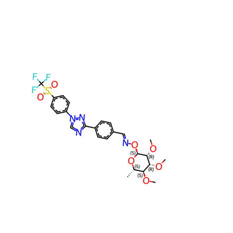 CO[C@@H]1[C@@H](OC)[C@H](C)O[C@@H](ON=Cc2ccc(-c3ncn(-c4ccc(S(=O)(=O)C(F)(F)F)cc4)n3)cc2)[C@@H]1OC